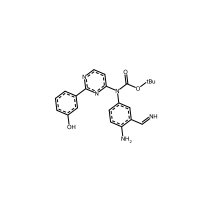 CC(C)(C)OC(=O)N(c1ccc(N)c(C=N)c1)c1ccnc(-c2cccc(O)c2)n1